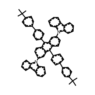 CC(C)(C)c1ccc(-c2ccc(-c3c4ccc(-n5c6ccccc6c6ccccc65)cc4c(-c4ccc(-c5ccc(C(C)(C)C)cc5)cc4)c4ccc(-n5c6ccccc6c6ccccc65)cc34)cc2)cc1